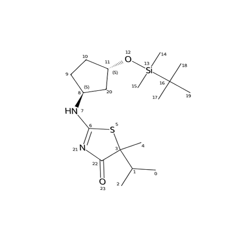 CC(C)C1(C)SC(N[C@H]2CC[C@H](O[Si](C)(C)C(C)(C)C)C2)=NC1=O